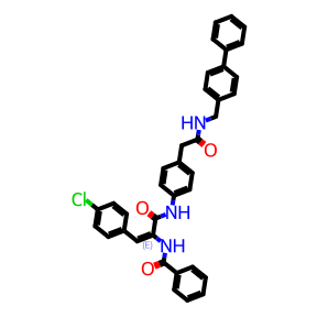 O=C(Cc1ccc(NC(=O)/C(=C\c2ccc(Cl)cc2)NC(=O)c2ccccc2)cc1)NCc1ccc(-c2ccccc2)cc1